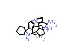 Cc1cc2cc3c1C(C)(NC31CCCCC1)C1CCCC1c1c(C(=N)N)ccn1-2